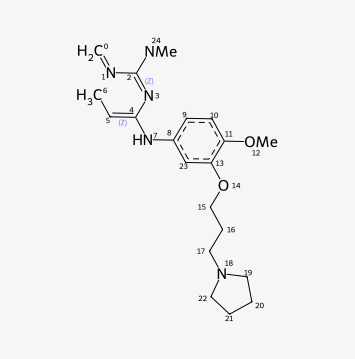 C=N/C(=N\C(=C/C)Nc1ccc(OC)c(OCCCN2CCCC2)c1)NC